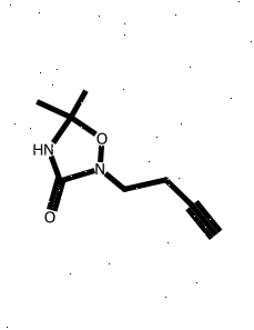 C#CCCN1OC(C)(C)NC1=O